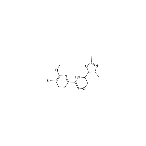 COc1nc(C2=NOCC(c3oc(C)nc3C)N2)ccc1Br